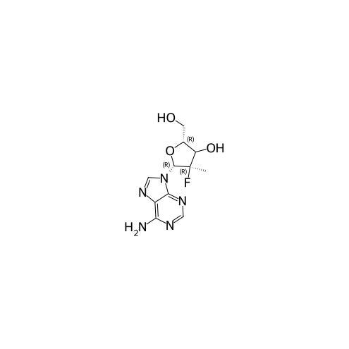 C[C@@]1(F)C(O)[C@@H](CO)O[C@H]1n1cnc2c(N)ncnc21